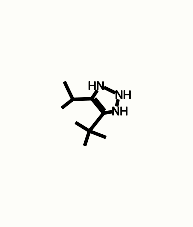 CC(C)C1=C(C(C)(C)C)NNN1